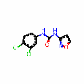 O=C(Nc1ccc(Cl)c(Cl)c1)Nc1ccon1